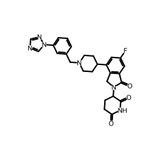 O=C1CCC(N2Cc3c(cc(F)cc3C3CCN(Cc4cccc(-n5cncn5)c4)CC3)C2=O)C(=O)N1